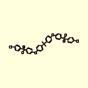 CC(C)(c1ccc(Oc2ccc(S(=O)(=O)c3ccc(Cl)cc3)cc2)cc1)c1ccc(Oc2ccc(S(=O)(=O)c3ccc(Cl)cc3)cc2)cc1